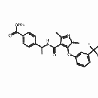 COC(=O)c1ccc(C(C)NC(=O)c2c(C)nn(C)c2Oc2cccc(C(C)(F)F)c2)cc1